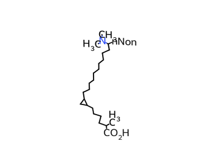 CCCCCCCCCC(CCCCCCCCCCC1CC1CCCCC(C)C(=O)O)N(C)C